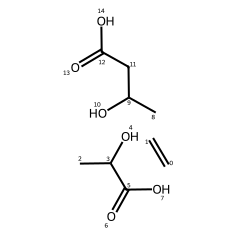 C=C.CC(O)C(=O)O.CC(O)CC(=O)O